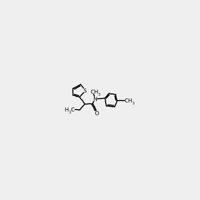 CCC(C(=O)N(C)c1ccc(C)cc1)c1cccs1